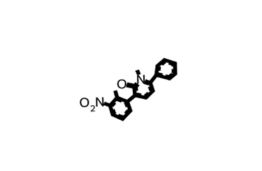 Cc1c(-c2ccc(-c3ccccc3)n(C)c2=O)cccc1[N+](=O)[O-]